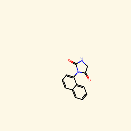 O=C1CNC(=O)N1c1cccc2ccccc12